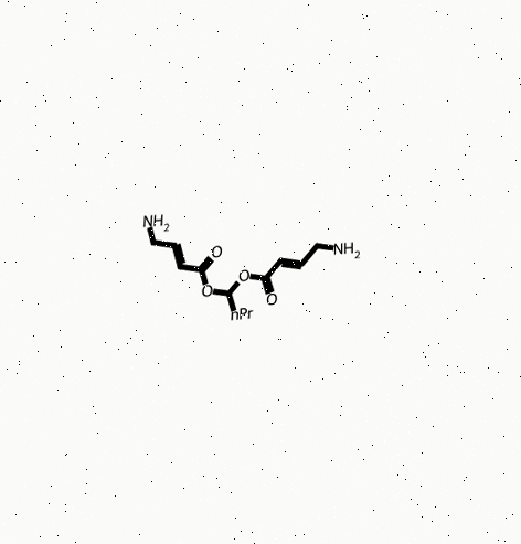 CCCC(OC(=O)/C=C/CN)OC(=O)/C=C/CN